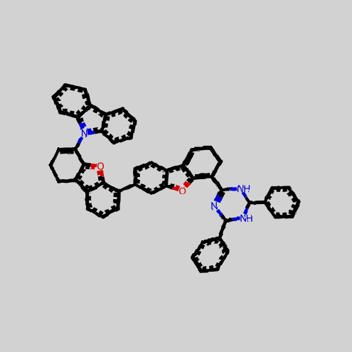 C1=C(n2c3ccccc3c3ccccc32)c2oc3c(-c4ccc5c6c(oc5c4)=C(C4=NC(c5ccccc5)NC(c5ccccc5)N4)CCC=6)cccc3c2CC1